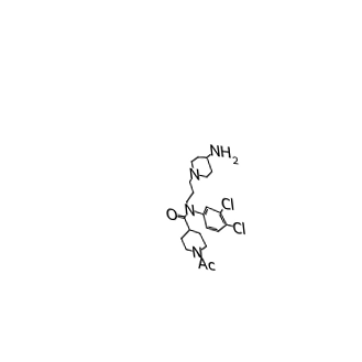 CC(=O)N1CCC(C(=O)N(CCCN2CCC(N)CC2)c2ccc(Cl)c(Cl)c2)CC1